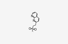 [CH2]S(=O)(=O)CCc1ccc2cccnc2n1